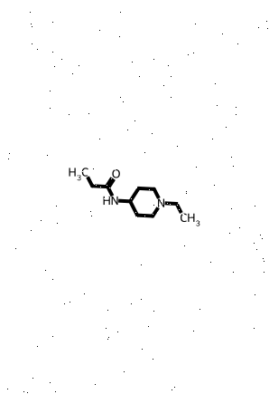 CCC(=O)NC1CCN(CC)CC1